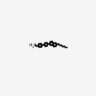 CCCCCCCc1ccc2cc(-c3ccc(-c4ccc(CN)cc4)cc3)ccc2c1